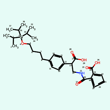 CC(C)[Si](OCCCCc1ccc(C(CNC(=O)c2ccccc2C(=O)O)C(=O)O)cc1)(C(C)C)C(C)C